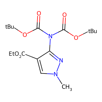 CCOC(=O)c1cn(C)nc1N(C(=O)OC(C)(C)C)C(=O)OC(C)(C)C